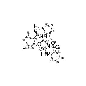 C[C@@H](NC(=O)[C@H](Cc1ccccc1)N1C(=O)Nc2ccccc2S1(=O)=O)c1ccc(F)cc1F